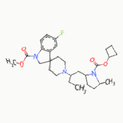 CCC(CC1CCC(C)N1C(=O)OC1CCC1)N1CCC2(CC1)CN(C(=O)OC)c1ccc(F)cc12